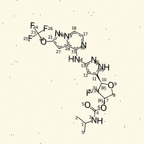 CC(C)NC(=O)O[C@@H]1CO[C@H](c2cc(Nc3nccn4nc(OC(F)(F)F)cc34)n[nH]2)[C@H]1F